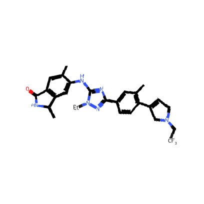 CCn1nc(-c2ccc(C3=CCN(CC(F)(F)F)C3)c(C)c2)nc1Nc1cc2c(cc1C)C(=O)NC2C